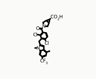 Cc1cc(C(F)(F)F)cc2c1cc(Cc1c(Cl)ccc(C(=O)N3CC4C(C3)C4C(=O)O)c1Cl)n2C